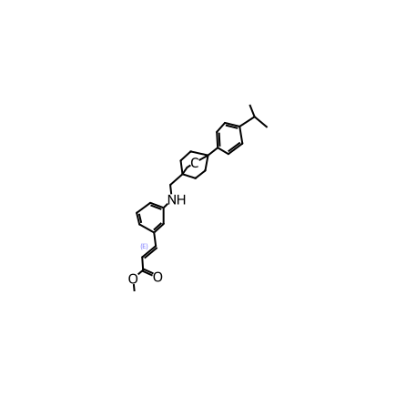 COC(=O)/C=C/c1cccc(NCC23CCC(c4ccc(C(C)C)cc4)(CC2)CC3)c1